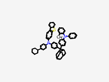 Cc1ccccc1N(c1ccccc1)c1ccc(C2(c3ccc(N(c4ccc(C5CCCCC5)cc4)c4ccc5c(c4)sc4ccccc45)cc3)C3CC4CC(C3)CC2C4)cc1